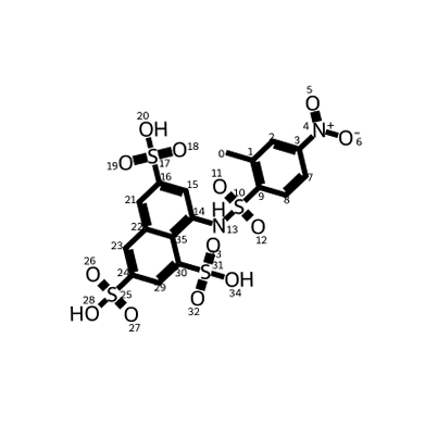 Cc1cc([N+](=O)[O-])ccc1S(=O)(=O)Nc1cc(S(=O)(=O)O)cc2cc(S(=O)(=O)O)cc(S(=O)(=O)O)c12